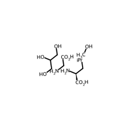 CC(C)C[C@H](N)C(=O)O.CO.NCC(=O)O.OCC(O)CO